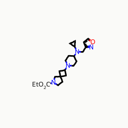 CCOC(=O)N1CCC2(CC(N3CCC(N(Cc4ccon4)C4CC4)CC3)C2)C1